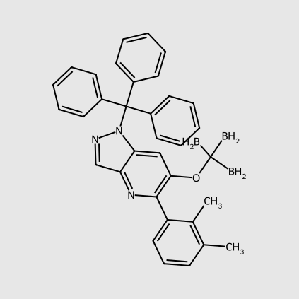 BC(B)(B)Oc1cc2c(cnn2C(c2ccccc2)(c2ccccc2)c2ccccc2)nc1-c1cccc(C)c1C